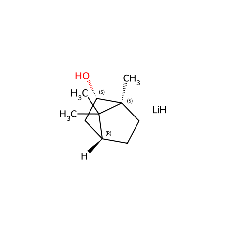 CC1(C)[C@@H]2CC[C@]1(C)[C@@H](O)C2.[LiH]